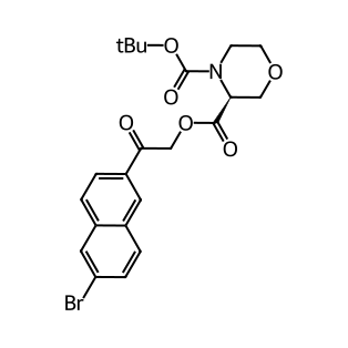 CC(C)(C)OC(=O)N1CCOC[C@H]1C(=O)OCC(=O)c1ccc2cc(Br)ccc2c1